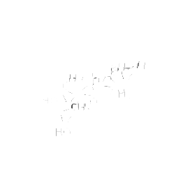 COc1ccc(Cc2c(OC)ccc(Cc3c(OC)c(C)cc(Cc4cc(C)c(CO)c(Cc5ccc(CO)cc5)c4C)c3OC)c2C)cc1